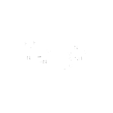 O=S(=O)(Nc1nccs1)c1cc(Cl)c(NC[C@@]23CCCN2CC(F)(F)C3)cc1F